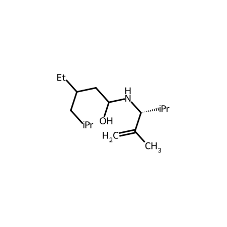 C=C(C)[C@H](NC(O)CC(CC)CC(C)C)C(C)C